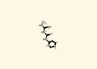 CNC(=N)NC(=O)Nc1ccncn1